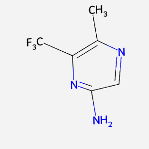 Cc1ncc(N)nc1C(F)(F)F